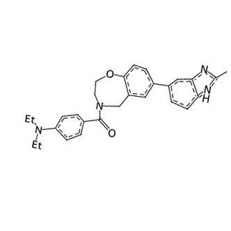 CCN(CC)c1ccc(C(=O)N2CCOc3ccc(-c4ccc5[nH]c(C)nc5c4)cc3C2)cc1